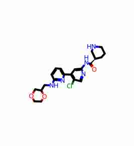 O=C(Nc1cc(-c2cccc(NCC3COCCO3)n2)c(Cl)cn1)[C@@H]1CCCNC1